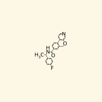 CC(NC(=O)c1ccc2c(c1)COc1cnccc1-2)c1ccc(F)cc1